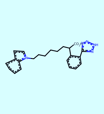 O=C(O)C(CCCCCCn1ccc2ccccc21)c1ccccc1-c1nn[nH]n1